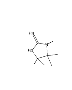 CN1C(=N)NC(C)(C)C1(C)C